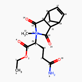 CCOC(=O)[C@H](CCC(N)=O)[N+]1(C)C(=O)C2C3C=CC(C3)C2C1=O